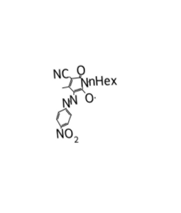 CCCCCCn1c([O])c(N=Nc2ccc([N+](=O)[O-])cc2)c(C)c(C#N)c1=O